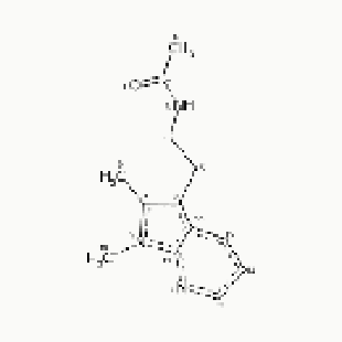 CC(=O)NCCc1c(C)n(C)c2ncccc12